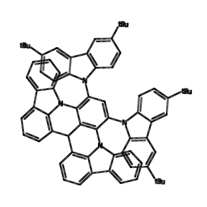 CC(C)(C)c1ccc2c(c1)c1cc(C(C)(C)C)ccc1n2-c1cc(-n2c3ccc(C(C)(C)C)cc3c3cc(C(C)(C)C)ccc32)c2c3c1-n1c4ccccc4c4cccc(c41)C3c1cccc3c4ccccc4n-2c13